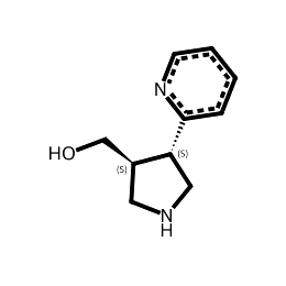 OC[C@@H]1CNC[C@H]1c1ccccn1